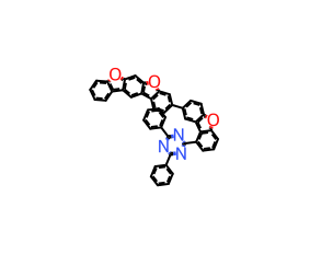 c1ccc(-c2nc(-c3ccccc3)nc(-c3cccc4oc5ccc(-c6ccc7c(c6)oc6cc8oc9ccccc9c8cc67)cc5c34)n2)cc1